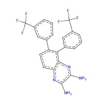 Nc1nc2ccc(-c3cccc(C(F)(F)F)c3)c(-c3cccc(C(F)(F)F)c3)c2nc1N